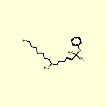 CC(C)CCCCCCCC(C)CCCC=CC(C)(C)Oc1ccccc1